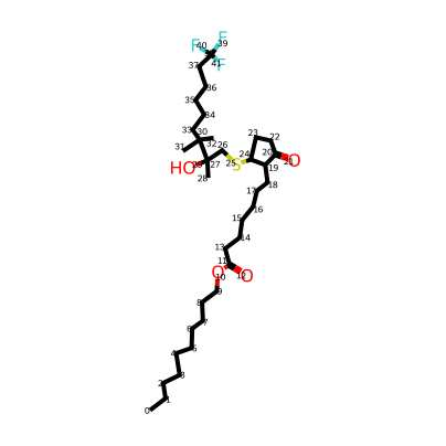 CCCCCCCCCCOC(=O)CCCCCCC1C(=O)CCC1SCC(C)(O)C(C)(C)CCCCCC(F)(F)F